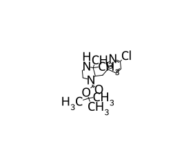 CC(C)(C)OC(=O)N1CCNC(C)(C)C1Cc1ccc(Cl)nc1